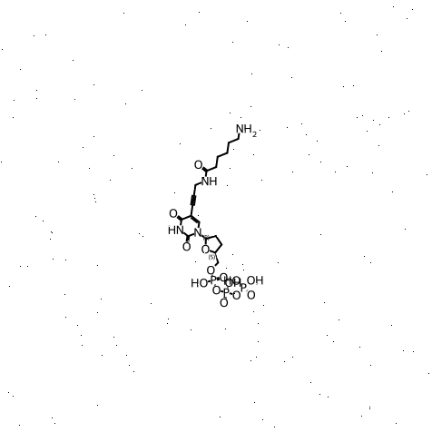 NCCCCCC(=O)NCC#Cc1cn([C@H]2CC[C@@H](COP(=O)(O)OP(=O)(O)OP(=O)(O)O)O2)c(=O)[nH]c1=O